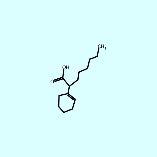 CCCCCCC(C(=O)O)C1=CCCCC1